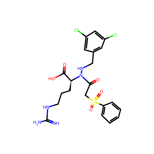 N=C(N)NCCC[C@@H](C(=O)O)N(NCc1cc(Cl)cc(Cl)c1)C(=O)CS(=O)(=O)c1ccccc1